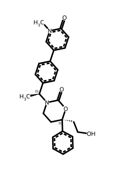 C[C@@H](c1ccc(-c2ccc(=O)n(C)c2)cc1)N1CC[C@](CCO)(c2ccccc2)OC1=O